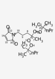 CCCC(C)(C)OOC(C)(CCCN1C(=O)C=CC1=O)OOC(C)(C)CCC